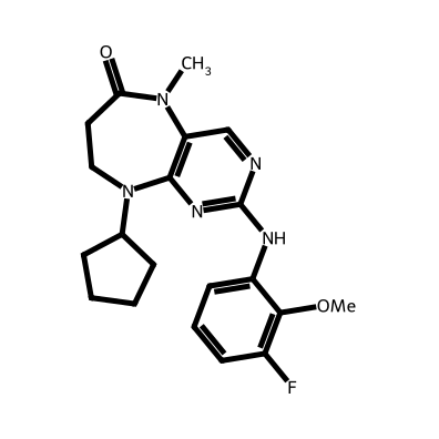 COc1c(F)cccc1Nc1ncc2c(n1)N(C1CCCC1)CCC(=O)N2C